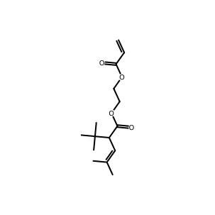 C=CC(=O)OCCOC(=O)C(C=C(C)C)C(C)(C)C